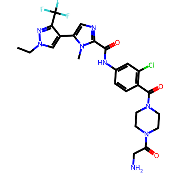 CCn1cc(-c2cnc(C(=O)Nc3ccc(C(=O)N4CCN(C(=O)CN)CC4)c(Cl)c3)n2C)c(C(F)(F)F)n1